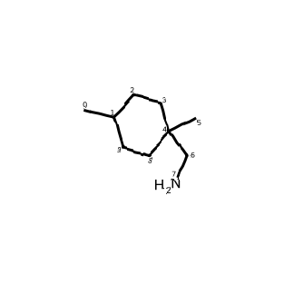 CC1CCC(C)(CN)CC1